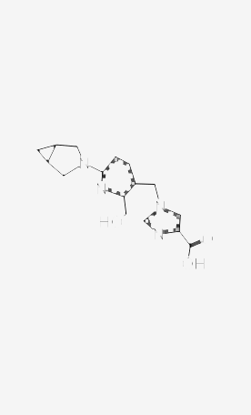 O=C(O)c1cn(Cc2ccc(N3CC4CC4C3)nc2CO)cn1